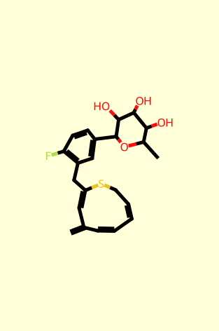 C=C1/C=C\C=C/CS/C(Cc2cc(C3OC(C)C(O)C(O)C3O)ccc2F)=C\1